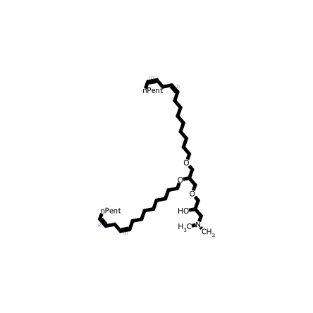 CCCCC/C=C\C/C=C\CCCCCCCCOCC(COCC(O)CN(C)C)OCCCCCCCC/C=C\C/C=C\CCCCC